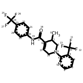 CC1CN(c2ncccc2C(F)(F)F)CC=C1C(=O)Nc1ccc(C(F)(F)F)cc1